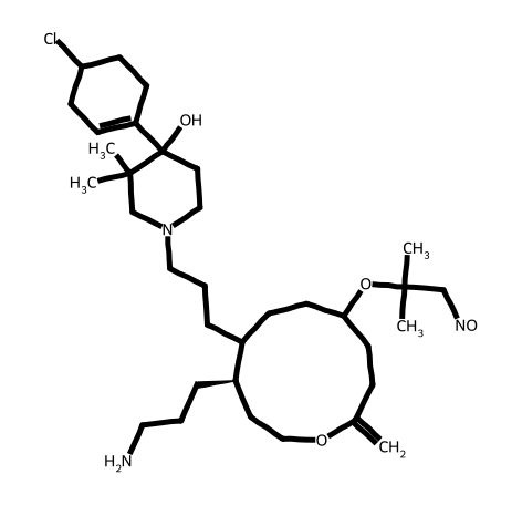 C=C1CCC(OC(C)(C)CN=O)CCC(CCCN2CCC(O)(C3=CCC(Cl)CC3)C(C)(C)C2)[C@H](CCCN)CCO1